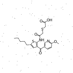 CCCCCc1cc(C(=O)c2ccc(OC)nc2)c(NC(=O)CSCC(=O)O)s1